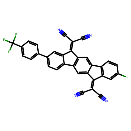 N#CC(C#N)=C1c2cc(F)ccc2-c2cc3c(cc21)-c1ccc(-c2ccc(C(F)(F)F)cc2)cc1C3=C(C#N)C#N